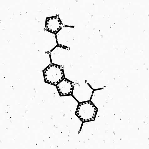 Cn1ncnc1C(=O)Nc1ccc2cc(-c3cc(F)ccc3C(F)F)[nH]c2n1